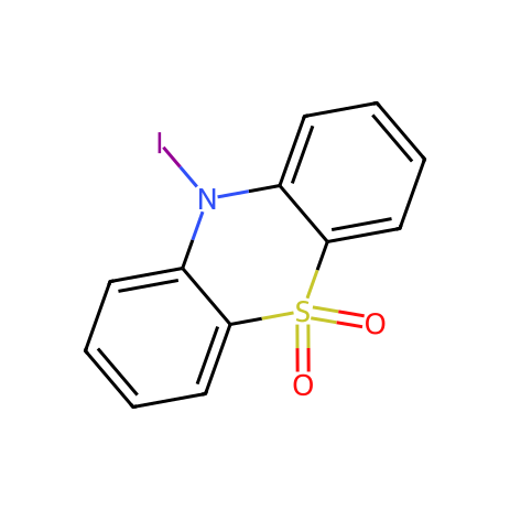 O=S1(=O)c2ccccc2N(I)c2ccccc21